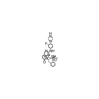 CC1(C)C(n2c(=O)ccc3cnc(Nc4ccc(N5CCNCC5)c(F)c4)nc32)Cc2ccccc2S1(=O)=O